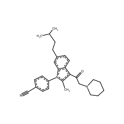 Cc1c(C(=O)CN2CCCCC2)c2ccc(CCC(C)C)cc2n1-c1ccc(C#N)cc1